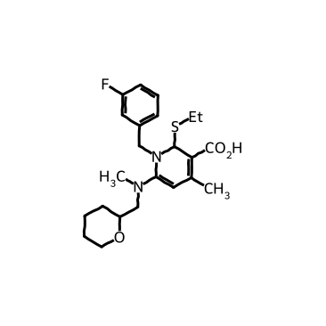 CCSC1C(C(=O)O)=C(C)C=C(N(C)CC2CCCCO2)N1Cc1cccc(F)c1